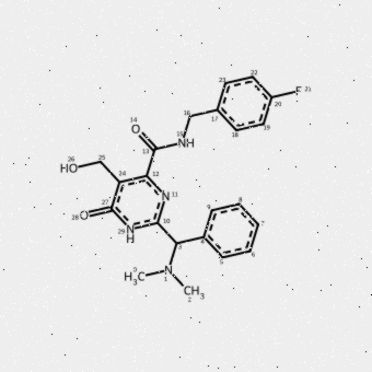 CN(C)C(c1ccccc1)c1nc(C(=O)NCc2ccc(F)cc2)c(CO)c(=O)[nH]1